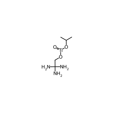 CC(C)[O][Ti](=[O])[O]CC(N)(N)N